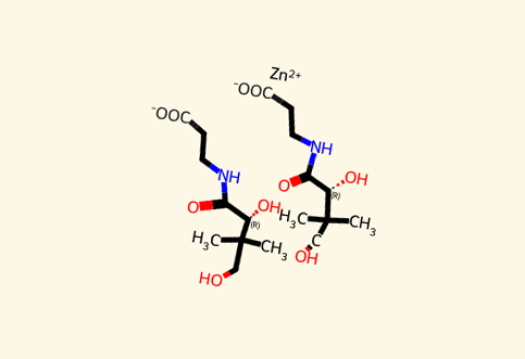 CC(C)(CO)[C@@H](O)C(=O)NCCC(=O)[O-].CC(C)(CO)[C@@H](O)C(=O)NCCC(=O)[O-].[Zn+2]